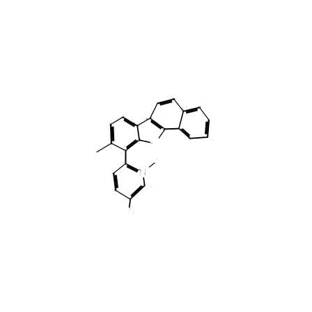 CCc1ccc(-c2c(C)ccc3c2oc2c4ccccc4ccc32)[n+](C)c1